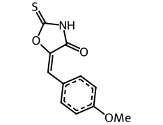 COc1ccc(C=C2OC(=S)NC2=O)cc1